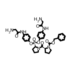 NCC(=O)Nc1ccc(OP(=O)(Oc2ccc(NC(=O)CN)cc2)[C@@H]2CCCN2C(=O)[C@@H]2CCCN2C(=O)OCc2ccccc2)cc1